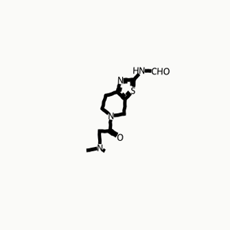 CN(C)CC(=O)N1CCc2nc(NC=O)sc2C1